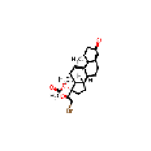 CC(=O)O[C@@]1(C(=O)CBr)CC[C@H]2[C@@H]3CCC4=CC(=O)CC[C@]4(C)C3=CC[C@@]21C